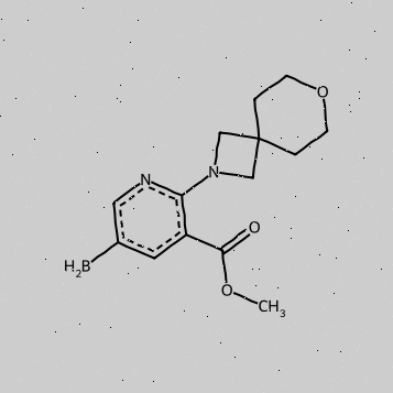 Bc1cnc(N2CC3(CCOCC3)C2)c(C(=O)OC)c1